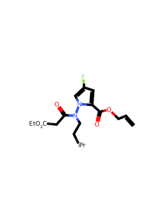 C=CCOC(=O)c1cc(F)cn1N(CCC(C)C)C(=O)CC(=O)OCC